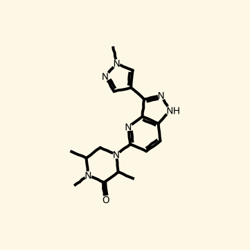 CC1CN(c2ccc3[nH]nc(-c4cnn(C)c4)c3n2)C(C)C(=O)N1C